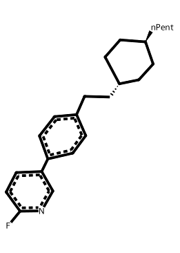 CCCCC[C@H]1CC[C@H](CCc2ccc(-c3ccc(F)nc3)cc2)CC1